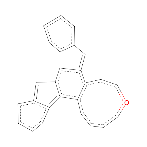 C1=c2ccccc2=c2c1c1c(c3ccoccccc23)=Cc2ccccc2-1